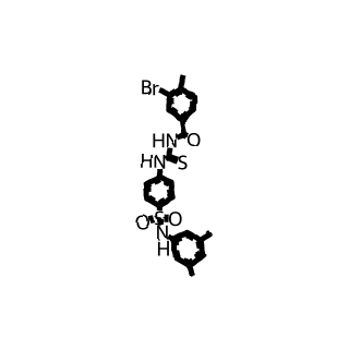 Cc1cc(C)cc(NS(=O)(=O)c2ccc(NC(=S)NC(=O)c3ccc(C)c(Br)c3)cc2)c1